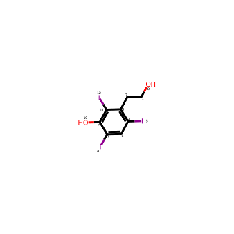 OCCc1c(I)cc(I)c(O)c1I